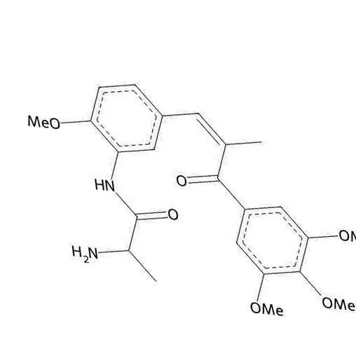 COc1ccc(C=C(C)C(=O)c2cc(OC)c(OC)c(OC)c2)cc1NC(=O)C(C)N